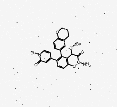 CCn1ccc(-c2ccc(C(F)(F)F)c(C(OC(C)(C)C)C(=O)ON)c2-c2ccc3c(c2)CCCO3)cc1=O